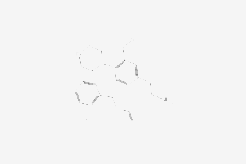 Cl.NCCc1ccc(N2CCNCC2)c(CN)c1.O=COCc1ccccc1